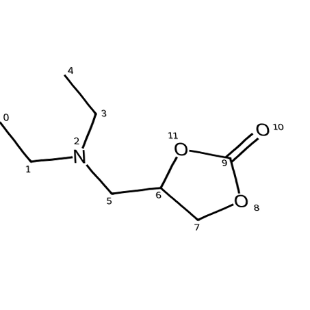 CCN(CC)CC1COC(=O)O1